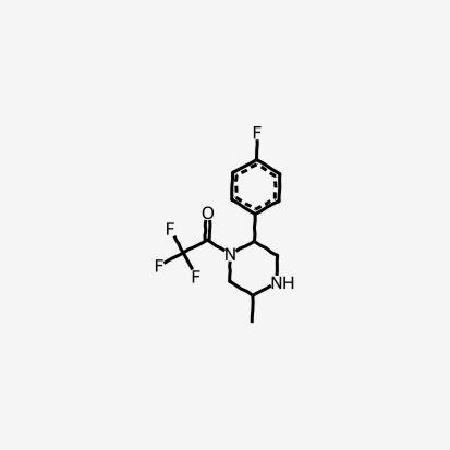 CC1CN(C(=O)C(F)(F)F)C(c2ccc(F)cc2)CN1